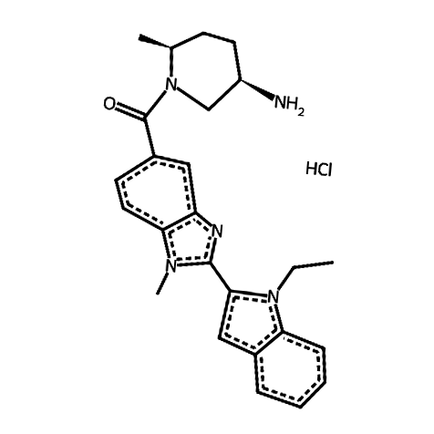 CCn1c(-c2nc3cc(C(=O)N4C[C@H](N)CC[C@@H]4C)ccc3n2C)cc2ccccc21.Cl